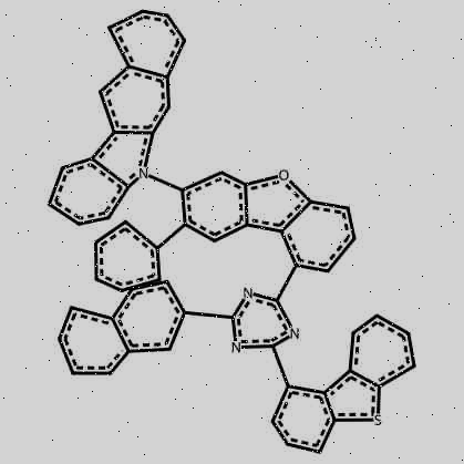 c1ccc(-c2cc3c(cc2-n2c4ccccc4c4cc5ccccc5cc42)oc2cccc(-c4nc(-c5ccc6ccccc6c5)nc(-c5cccc6sc7ccccc7c56)n4)c23)cc1